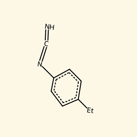 CCc1ccc(N=C=N)cc1